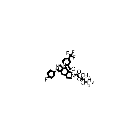 CC(C)(C)OC(=O)N1CCC2Cc3c(cnn3-c3ccc(F)cc3)C[C@]2(C(=O)c2cc(C(F)(F)F)ccn2)C1